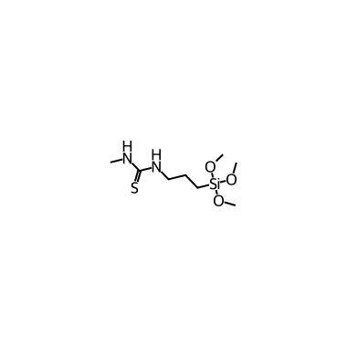 CNC(=S)NCCC[Si](OC)(OC)OC